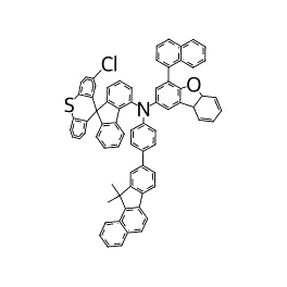 CC1(C)c2cc(-c3ccc(N(c4cc(-c5cccc6ccccc56)c5c(c4)C4C=CC=CC4O5)c4cccc5c4-c4ccccc4C54c5ccccc5Sc5ccc(Cl)cc54)cc3)ccc2-c2ccc3ccccc3c21